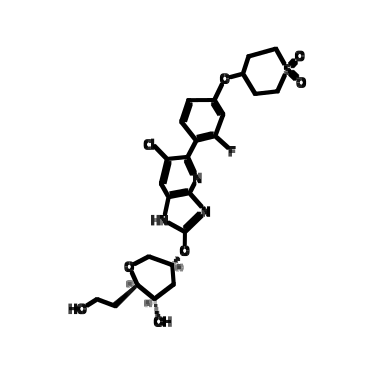 O=S1(=O)CCC(Oc2ccc(-c3nc4nc(O[C@H]5CO[C@H](CCO)[C@@H](O)C5)[nH]c4cc3Cl)c(F)c2)CC1